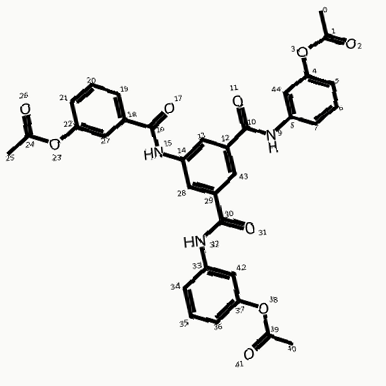 CC(=O)Oc1cccc(NC(=O)c2cc(NC(=O)c3cccc(OC(C)=O)c3)cc(C(=O)Nc3cccc(OC(C)=O)c3)c2)c1